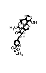 CCS(=O)(=O)c1ccc(CNc2nc3cnc(-c4c(O)ncnc4C4CC4)nc3n(C(C)C)c2=O)cn1